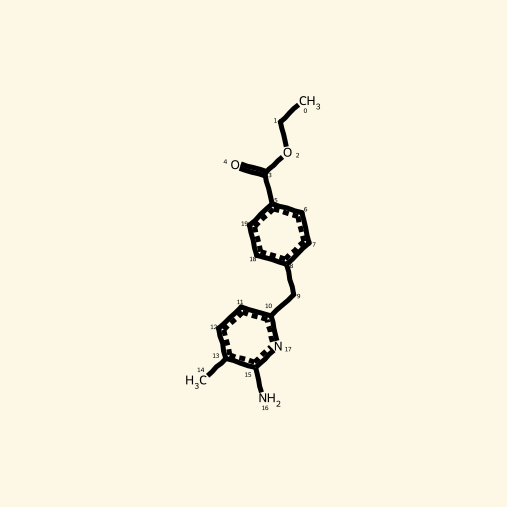 CCOC(=O)c1ccc(Cc2ccc(C)c(N)n2)cc1